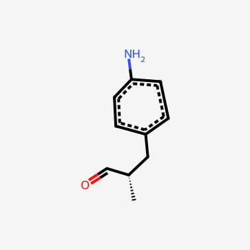 C[C@H](C=O)Cc1ccc(N)cc1